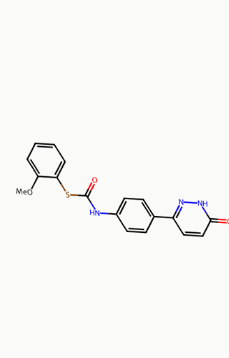 COc1ccccc1SC(=O)Nc1ccc(-c2ccc(=O)[nH]n2)cc1